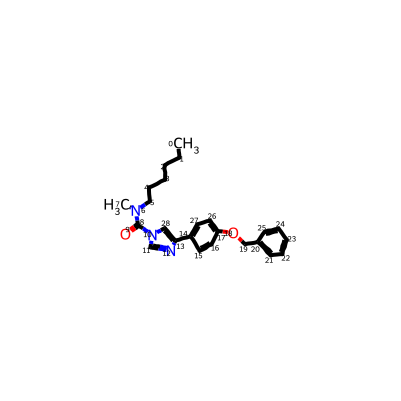 CCCCCCN(C)C(=O)n1cnc(-c2ccc(OCc3ccccc3)cc2)c1